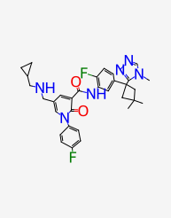 Cn1cnnc1C1(c2ccc(F)c(NC(=O)c3cc(CNCC4CC4)cn(-c4ccc(F)cc4)c3=O)c2)CC(C)(C)C1